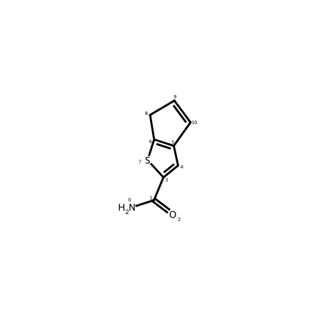 NC(=O)c1cc2c(s1)CC=C2